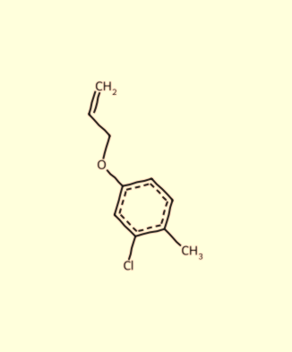 C=CCOc1ccc(C)c(Cl)c1